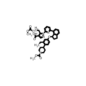 CCc1cc(OC2CCc3cccc(-c4cccc(-n5ncc(C(=O)O)c5CC)n4)c32)ccc1C1CCN(C(=O)OC)CC1.COC(=O)Cl